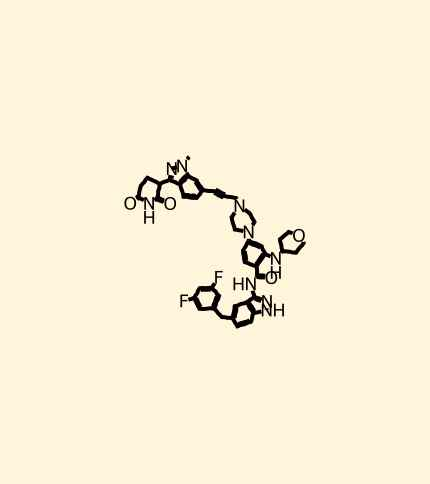 Cn1nc(C2CCC(=O)NC2=O)c2ccc(C#CCN3CCN(c4ccc(C(=O)Nc5n[nH]c6ccc(Cc7cc(F)cc(F)c7)cc56)c(NC5CCOCC5)c4)CC3)cc21